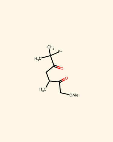 CCC(C)(C)C(=O)CC(C)C(=O)COC